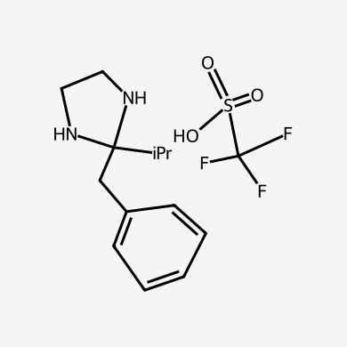 CC(C)C1(Cc2ccccc2)NCCN1.O=S(=O)(O)C(F)(F)F